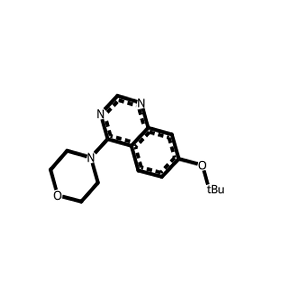 CC(C)(C)Oc1ccc2c(N3CCOCC3)ncnc2c1